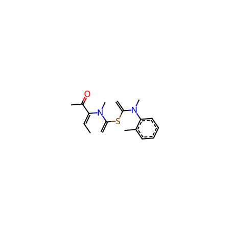 C=C(SC(=C)N(C)c1ccccc1C)N(C)/C(=C\C)C(C)=O